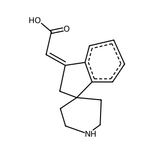 O=C(O)/C=C1/CC2(CCNCC2)c2ccccc21